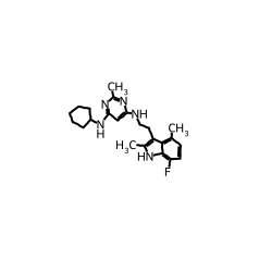 Cc1nc(NCCc2c(C)[nH]c3c(F)ccc(C)c23)cc(NC2CCCCC2)n1